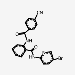 N#Cc1ccc(C(=O)Nc2ccccc2C(=O)Nc2ccc(Br)cn2)cc1